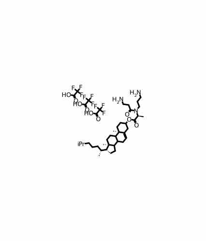 CC(C)CCC[C@@H](C)[C@H]1CCC2C3CC=C4CC(OC(=O)[C@H](C)N(CCCN)C(=O)CCN)CC[C@]4(C)C3CC[C@@]21C.O=C(O)C(F)(F)F.O=C(O)C(F)(F)F.O=C(O)C(F)(F)F